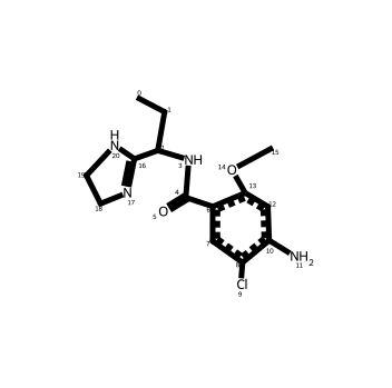 CCC(NC(=O)c1cc(Cl)c(N)cc1OC)C1=NCCN1